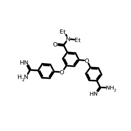 CCN(CC)C(=O)c1cc(Oc2ccc(C(=N)N)cc2)cc(Oc2ccc(C(=N)N)cc2)c1